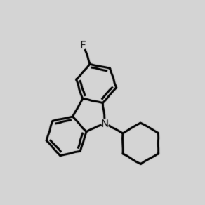 Fc1ccc2c(c1)c1ccccc1n2C1CCCCC1